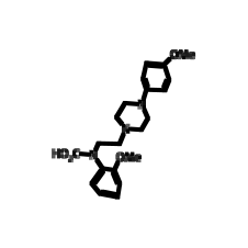 COc1ccc(N2CCN(CCN(C(=O)O)c3ccccc3OC)CC2)cc1